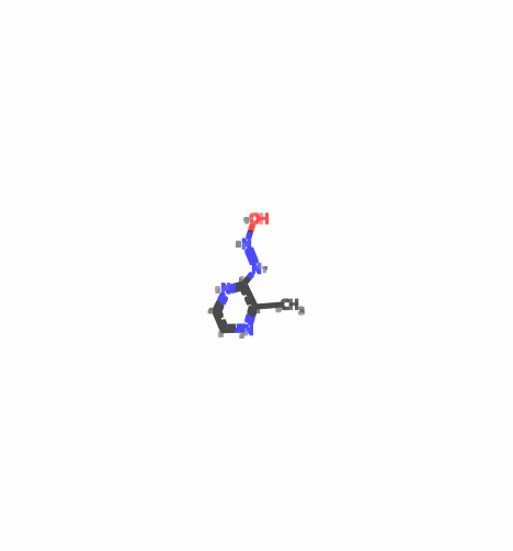 Cc1nccnc1N=NO